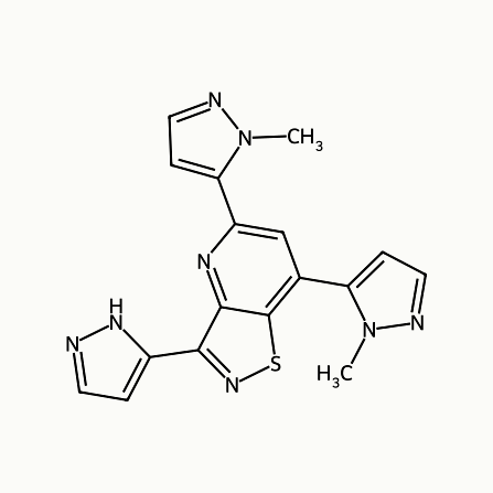 Cn1nccc1-c1cc(-c2ccnn2C)c2snc(-c3ccn[nH]3)c2n1